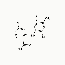 Cc1cc(N)c(Nc2cc(Cl)ccc2C(=O)O)cc1Br